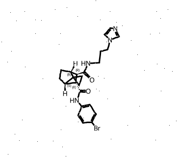 O=C(NCCCn1ccnc1)[C@H]1[C@H](C(=O)Nc2ccc(Br)cc2)[C@@H]2CC[C@H]1C21CC1